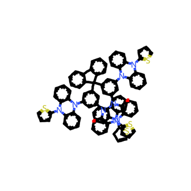 C1=CSC(N2c3ccccc3N(c3cc(N4c5ccccc5N(c5cccs5)c5ccccc54)cc(C4(c5cc(N6c7ccccc7N(c7cccs7)c7ccccc76)cc(N6c7ccccc7N(c7cccs7)c7ccccc76)c5)c5ccccc5-c5ccccc54)c3)c3ccccc32)C1